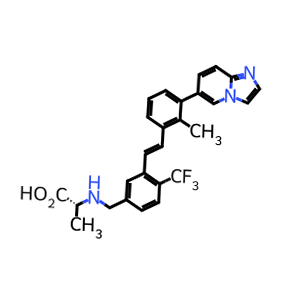 Cc1c(/C=C/c2cc(CN[C@H](C)C(=O)O)ccc2C(F)(F)F)cccc1-c1ccc2nccn2c1